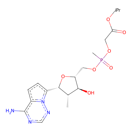 CC(C)OC(=O)COP(C)(=O)OC[C@H]1O[C@@H](c2ccc3c(N)ncnn23)[C@@H](C)[C@@H]1O